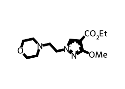 CCOC(=O)c1cn(CCN2CCOCC2)nc1OC